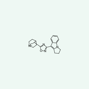 c1ccc2c(c1)c(-c1noc(C3CN4CCC3CC4)n1)c1n2CCC1